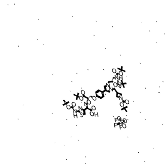 CC(C)(C)OC(=O)NC[C@@H](Cn1cc(-c2ccc(OC[C@H](O/N=C(\C(=O)O)c3csc(NC(=O)OC(C)(C)C)n3)C(=O)OC(C)(C)C)cc2)c[n+]1CC1CN(C(=O)OC(C)(C)C)C1)O[Si](C)(C)C(C)(C)C.O=S(=O)([O-])C(F)(F)F